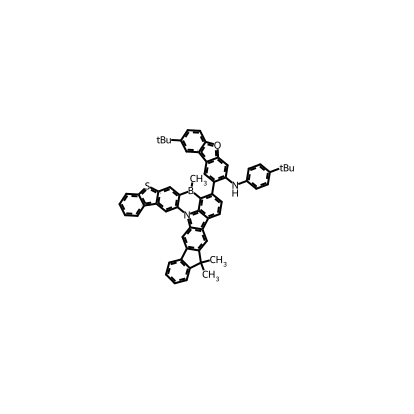 CB1c2cc3sc4ccccc4c3cc2-n2c3cc4c(cc3c3ccc(-c5cc6c(cc5Nc5ccc(C(C)(C)C)cc5)oc5ccc(C(C)(C)C)cc56)c1c32)C(C)(C)c1ccccc1-4